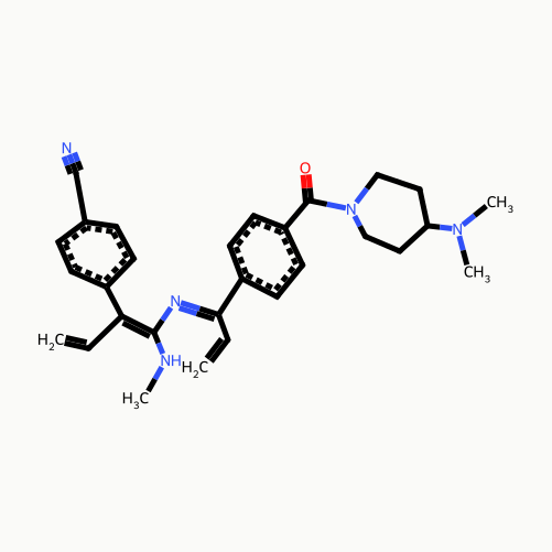 C=C/C(=C(/N=C(\C=C)c1ccc(C(=O)N2CCC(N(C)C)CC2)cc1)NC)c1ccc(C#N)cc1